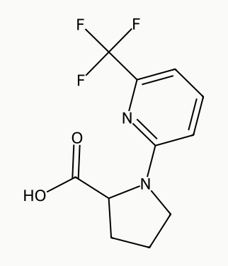 O=C(O)C1CCCN1c1cccc(C(F)(F)F)n1